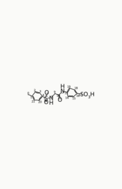 Cc1ccc(S(=O)(=O)NCC(=O)Nc2ccc(S(=O)(=O)O)cc2)cc1